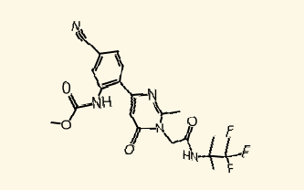 COC(=O)Nc1cc(C#N)ccc1-c1cc(=O)n(CC(=O)NC(C)(C)C(F)(F)F)c(C)n1